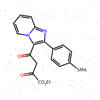 CCOC(=O)C(=O)CC(=O)c1c(-c2ccc(SC)cc2)nc2ccccn12